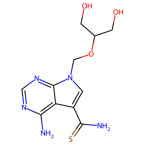 NC(=S)c1cn(COC(CO)CO)c2ncnc(N)c12